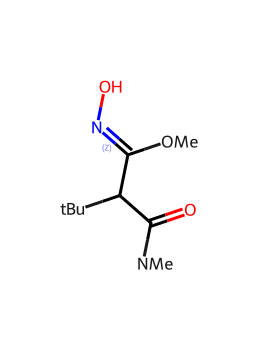 CNC(=O)C(/C(=N/O)OC)C(C)(C)C